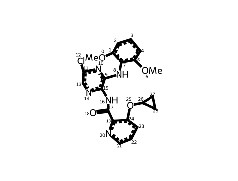 COc1cccc(OC)c1Nc1nc(Cl)cnc1NC(=O)c1ncccc1OC1CC1